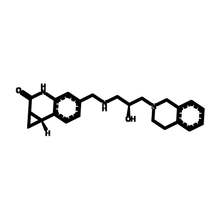 O=C1Nc2cc(CNC[C@H](O)CN3CCc4ccccc4C3)ccc2[C@@H]2CC12